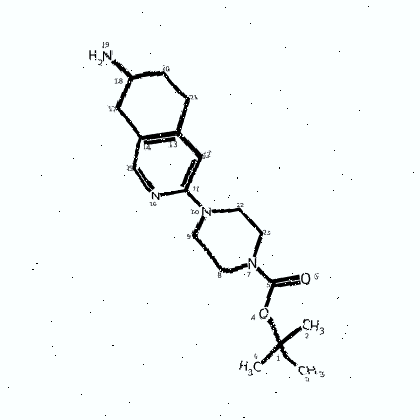 CC(C)(C)OC(=O)N1CCN(c2cc3c(cn2)CC(N)CC3)CC1